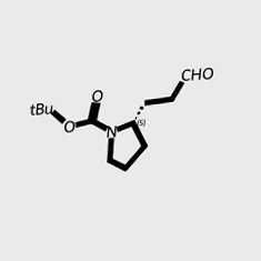 CC(C)(C)OC(=O)N1CCC[C@H]1CCC=O